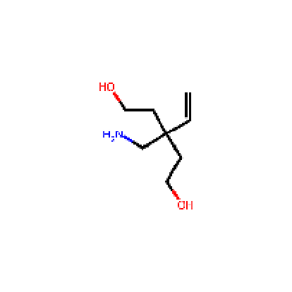 C=CC(CN)(CCO)CCO